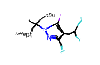 CCCCCCCC(C)(CCCC)n1nc(F)c(C(F)F)c1I